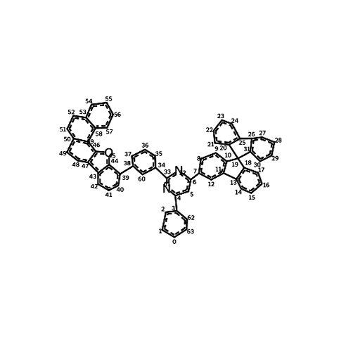 c1ccc(-c2cc(-c3ccc4c(c3)-c3ccccc3C43c4ccccc4-c4ccccc43)nc(-c3cccc(-c4cccc5c4oc4c5ccc5ccc6ccccc6c54)c3)n2)cc1